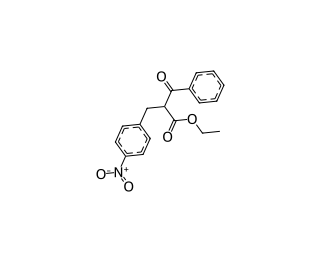 CCOC(=O)C(Cc1ccc([N+](=O)[O-])cc1)C(=O)c1ccccc1